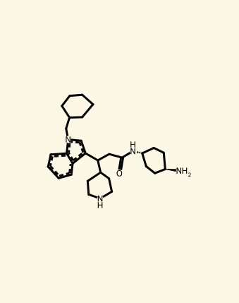 N[C@H]1CC[C@H](NC(=O)CC(c2cn(CC3CCCCC3)c3ccccc23)C2CCNCC2)CC1